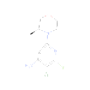 C[C@H]1COCCN1c1cc(N)c(Cl)c(F)n1